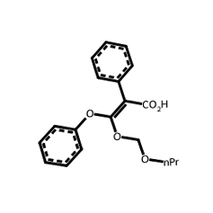 CCCOCOC(Oc1ccccc1)=C(C(=O)O)c1ccccc1